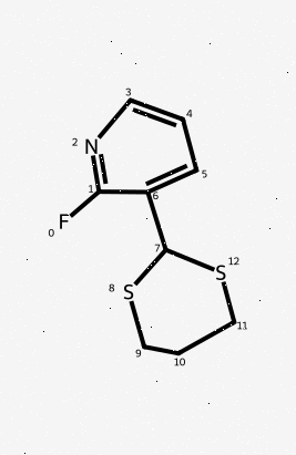 Fc1ncccc1C1SCCCS1